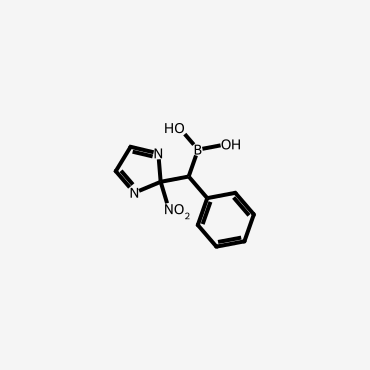 O=[N+]([O-])C1(C(B(O)O)c2ccccc2)N=CC=N1